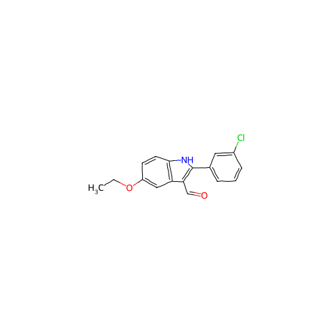 CCOc1ccc2[nH]c(-c3cccc(Cl)c3)c(C=O)c2c1